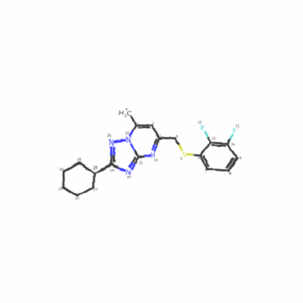 Cc1cc(CSc2cccc(F)c2F)nc2nc(C3CCCCC3)nn12